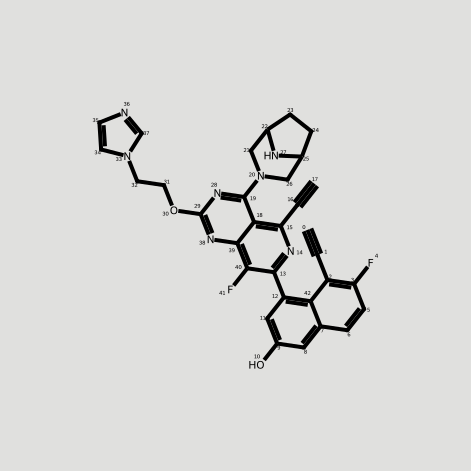 C#Cc1c(F)ccc2cc(O)cc(-c3nc(C#C)c4c(N5CC6CCC(C5)N6)nc(OCCn5ccnc5)nc4c3F)c12